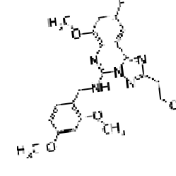 COc1ccc(CNc2nc3c(OC)cc(F)cc3c3nc(CCO)nn23)c(OC)c1